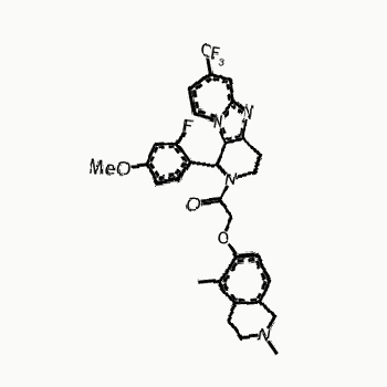 COc1ccc(C2c3c(nc4cc(C(F)(F)F)ccn34)CCN2C(=O)COc2ccc3c(c2C)CCN(C)C3)c(F)c1